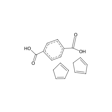 C1=CCC=C1.C1=CCC=C1.O=C(O)c1ccc(C(=O)O)cc1